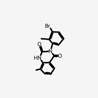 Cc1c(Br)cccc1-n1c(=O)[nH]c2c(C)cccc2c1=O